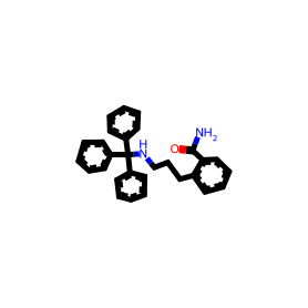 NC(=O)c1ccccc1CCCNC(c1ccccc1)(c1ccccc1)c1ccccc1